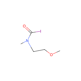 COCCN(C)C(=O)I